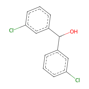 O[C](c1cccc(Cl)c1)c1cccc(Cl)c1